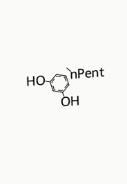 CCCCCC.Oc1cccc(O)c1